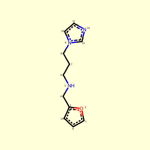 c1coc(CNCCCn2ccnc2)c1